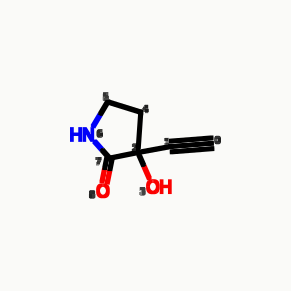 C#CC1(O)CCNC1=O